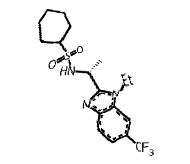 CCn1c([C@@H](C)NS(=O)(=O)C2CCCCC2)nc2ccc(C(F)(F)F)cc21